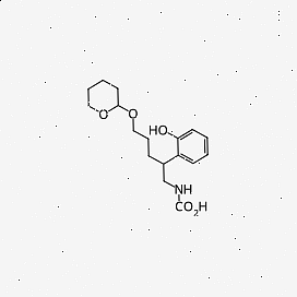 O=C(O)NCC(CCCOC1CCCCO1)c1ccccc1O